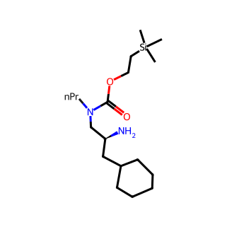 CCCN(C[C@@H](N)CC1CCCCC1)C(=O)OCC[Si](C)(C)C